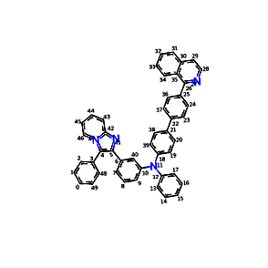 c1ccc(-c2c(-c3cccc(N(c4ccccc4)c4ccc(-c5ccc(-c6nccc7ccccc67)cc5)cc4)c3)nc3ccccn23)cc1